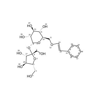 OC[C@H]1O[C@@](CO)(O[C@H]2O[C@H](COC=Cc3ccccc3)[C@@H](O)[C@H](O)[C@H]2O)[C@@H](O)[C@@H]1O